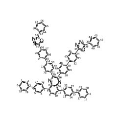 c1ccc(-c2ccc(-c3ccc(-c4ccc(-c5ccccc5)cc4)c4nc(-c5ccc(-c6ccc(-c7nnc(-c8ccccc8)o7)cc6)cc5)c(-c5ccc(-c6ccc(-c7nnc(-c8ccccc8)o7)cc6)cc5)nc34)cc2)cc1